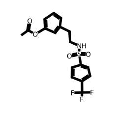 CC(=O)Oc1cccc(CCNS(=O)(=O)c2ccc(C(F)(F)F)cc2)c1